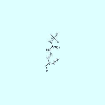 CCC(C=O)C=CNC(=O)OC(C)(C)C